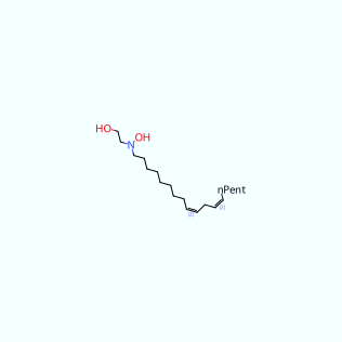 CCCCC/C=C\C/C=C\CCCCCCCCN(O)CCO